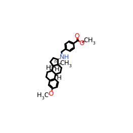 COC(=O)c1ccc(CN[C@H]2CC[C@H]3[C@@H]4CCc5cc(OC)ccc5[C@H]4CC[C@]23C)cc1